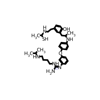 CC(C)NCCCCN/C(N)=N\c1cccc(Oc2ccc(NC(C)Cc3cc(CCNC(C)S)ccc3O)cc2)c1